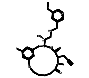 C#CCC1C(=O)N[C@H]([C@H](O)CNCc2cncc(CC)c2)Cc2cc(F)cc(c2)OCCCCC(=O)N1C